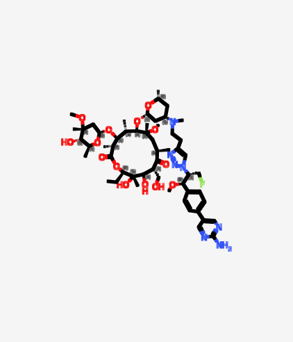 CC[C@H]1OC(=O)[C@H](C)[C@@H](O[C@H]2C[C@@](C)(OC)[C@@H](O)[C@H](C)O2)[C@H](C)[C@@H](O[C@H]2C[C@@H](N(C)CCc3cn([C@H](CF)[C@H](OC)c4ccc(-c5cnc(N)nc5)cc4)nn3)C[C@@H](C)O2)[C@](C)(OC)C[C@@H](C)C(=O)[C@H](CO)[C@@H](O)[C@]1(C)O